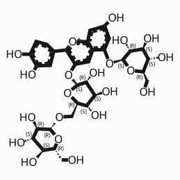 OC[C@H]1O[C@@H](OC[C@H]2O[C@@H](Oc3cc4c(O[C@@H]5O[C@H](CO)[C@@H](O)[C@H](O)[C@H]5O)cc(O)cc4[o+]c3-c3ccc(O)c(O)c3)[C@H](O)[C@@H](O)[C@@H]2O)[C@H](O)[C@@H](O)[C@@H]1O